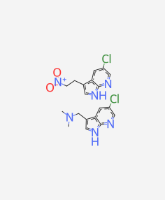 CN(C)Cc1c[nH]c2ncc(Cl)cc12.O=[N+]([O-])CCc1c[nH]c2ncc(Cl)cc12